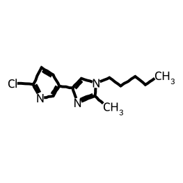 CCCCCn1cc(-c2ccc(Cl)nc2)nc1C